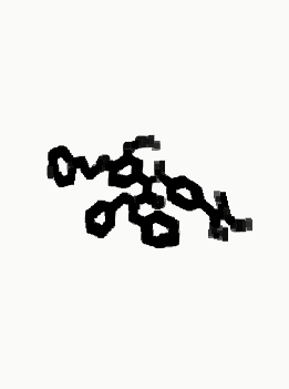 COc1cc([C@H](Nc2ccc(C(=N)NO)cc2)C(=O)N(Cc2ccccc2)Cc2ccccc2)ccc1OCCN1CCOCC1